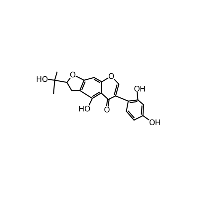 CC(C)(O)C1Cc2c(cc3occ(-c4ccc(O)cc4O)c(=O)c3c2O)O1